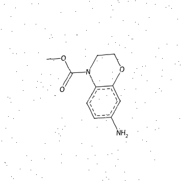 COC(=O)N1CCOc2cc(N)ccc21